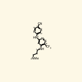 CNCCCNc1cc(Nc2cnc(C#N)cn2)nnc1C(F)(F)F